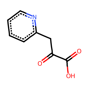 O=C(O)C(=O)Cc1ccccn1